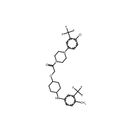 Cc1ccc(NC2CCC(OCC(=O)N3CCN(c4ccc(Cl)c(C(F)(F)F)c4)CC3)CC2)cc1C(F)(F)F